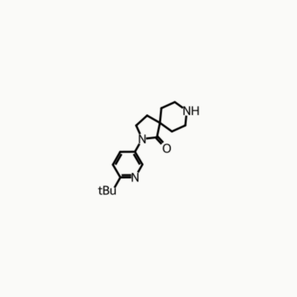 CC(C)(C)c1ccc(N2CCC3(CCNCC3)C2=O)cn1